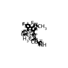 Cc1nc(F)c2c(-c3ccc(F)cc3C(=O)N3CCOC[C@H]3C)cc(C3CN([C@H](CO[C@H]4CCNC4)C(C)C)C3)cn12